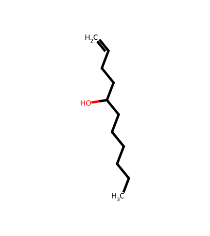 C=CCCC(O)CCCCCC